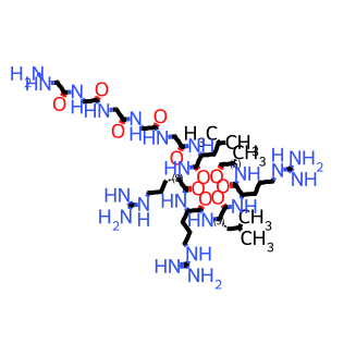 CC(C)CC(NC(=O)CNC(=O)CNC(=O)CNC(=O)CNC(=O)CNN)C(=O)N[C@@H](CCCNC(=N)N)C(=O)NC(CCCNC(=N)N)C(=O)N[C@@H](CC(C)C)C(=O)NC(CCCNC(=N)N)C(=O)N[C@@H](C)C=O